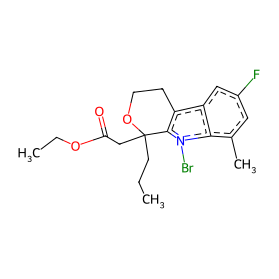 CCCC1(CC(=O)OCC)OCCc2c1n(Br)c1c(C)cc(F)cc21